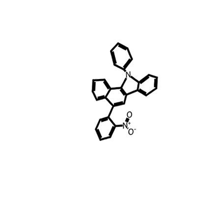 O=[N+]([O-])c1ccccc1-c1cc2c3ccccc3n(-c3ccccc3)c2c2ccccc12